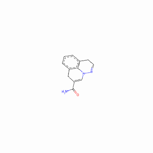 NC(=O)C1=CN2N=CCc3cccc(c32)C1